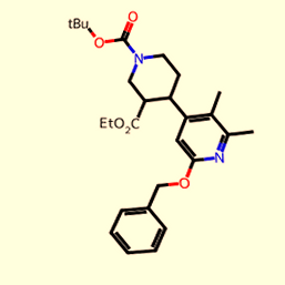 CCOC(=O)C1CN(C(=O)OC(C)(C)C)CCC1c1cc(OCc2ccccc2)nc(C)c1C